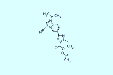 CCc1nn(-c2ccc3c(c2)c(C#N)cn3C(C)C)cc1C(=O)OOC(C)=O